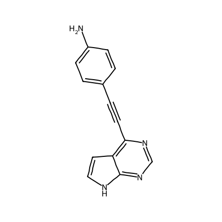 Nc1ccc(C#Cc2ncnc3[nH]ccc23)cc1